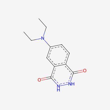 CCN(CC)c1ccc2c(=O)[nH][nH]c(=O)c2c1